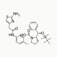 CC(C)(C)[Si](C)(C)O[C@H](c1ccccc1)[C@H]1CC[C@H](Cc2ccc(NC(=O)Cc3csc(N)n3)cc2)N1C(=O)O